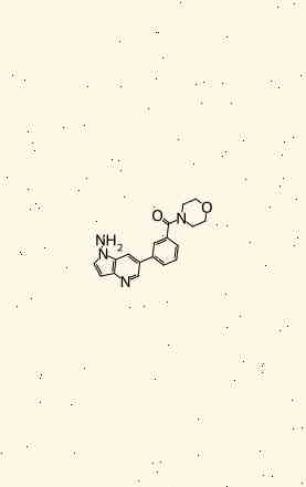 Nn1ccc2ncc(-c3cccc(C(=O)N4CCOCC4)c3)cc21